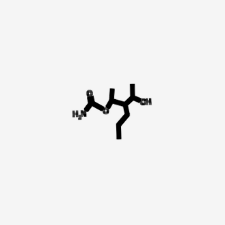 CCCC(C(C)O)C(C)OC(N)=O